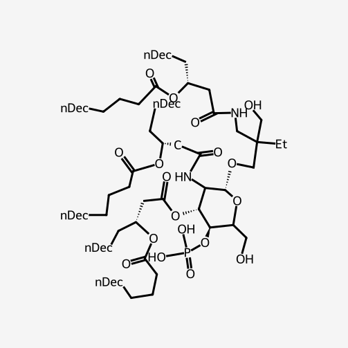 CCCCCCCCCCCCCC(=O)O[C@H](CCCCCCCCCCC)CC(=O)NCC(CC)(CO)CO[C@@H]1OC(CO)[C@@H](OP(=O)(O)O)[C@H](OC(=O)C[C@@H](CCCCCCCCCCC)OC(=O)CCCCCCCCCCCCC)C1NC(=O)C[C@@H](CCCCCCCCCCC)OC(=O)CCCCCCCCCCCCC